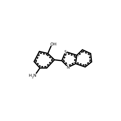 Nc1ccc(O)c(-c2nc3ccccc3s2)c1